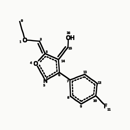 CO/C=c1\onc(-c2ccc(F)cc2)\c1=C\O